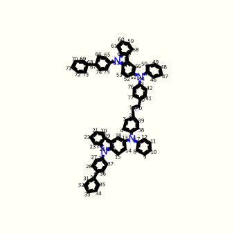 C(=C\c1ccc(N(c2ccccc2)c2ccc3c(c2)c2ccccc2n3-c2ccc(-c3ccccc3)cc2)cc1)/c1ccc(N(c2ccccc2)c2ccc3c(c2)c2ccccc2n3-c2ccc(-c3ccccc3)cc2)cc1